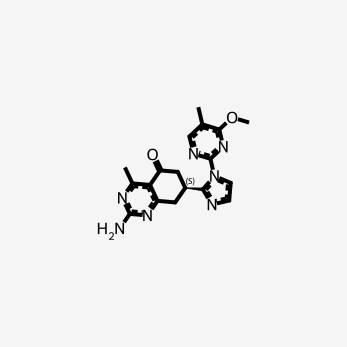 COc1nc(-n2ccnc2[C@@H]2CC(=O)c3c(C)nc(N)nc3C2)ncc1C